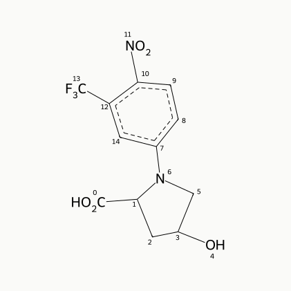 O=C(O)C1CC(O)CN1c1ccc([N+](=O)[O-])c(C(F)(F)F)c1